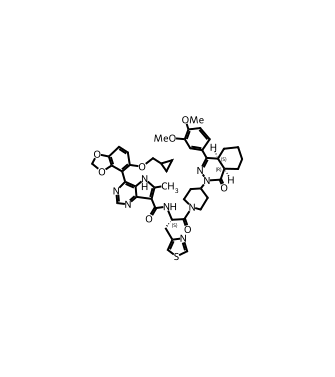 COc1ccc(C2=NN(C3CCN(C(=O)[C@H](Cc4cscn4)NC(=O)c4c(C)[nH]c5c(-c6c(OCC7CC7)ccc7c6OCO7)ncnc45)CC3)C(=O)[C@@H]3CCCC[C@H]23)cc1OC